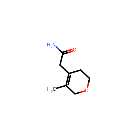 CC1=C(CC(N)=O)CCOC1